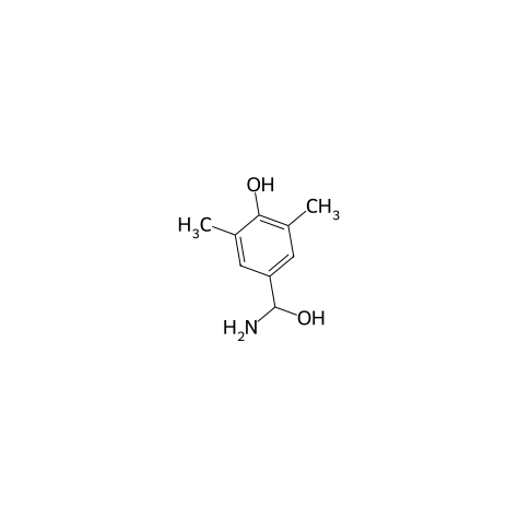 Cc1cc(C(N)O)cc(C)c1O